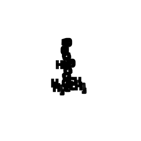 CN(C)C(C)(C)c1ccc2c(c1)CC[C@H](NC(=O)c1ccc(OC[C@@H]3CCCO3)cc1)C2